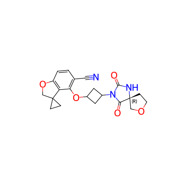 N#Cc1ccc2c(c1OC1CC(N3C(=O)N[C@@]4(CCOC4)C3=O)C1)C1(CC1)CO2